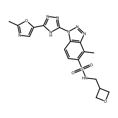 Cc1ncc(-c2nnc(-n3nnc4c(C)c(S(=O)(=O)NCC5COC5)ccc43)[nH]2)o1